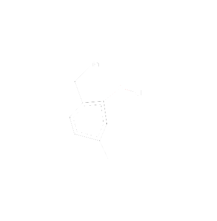 Cc1ccc(CC(C)C)c(OC(F)(F)F)c1